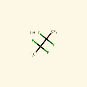 FC(F)(F)C(F)(F)C(F)(F)C(F)(F)F.[LiH]